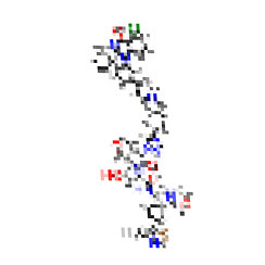 Cc1ncsc1-c1ccc([C@H](CN2CCOCC2)NC(=O)[C@@H]2C[C@@H](O)CN2C(=O)[C@H](C2CCOCC2)n2cc(C3CCC(CN4CCC(c5ccc6c(c5)-n5c(nc(=O)c7c(Cl)cccc75)C65CCCCC5)CC4)CC3)nn2)cc1